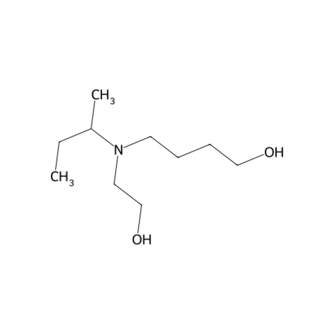 CCC(C)N(CCO)CCCCO